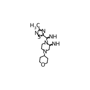 Cc1nsc(C(=N)N2CCN(C3CCOCC3)CC2=N)n1